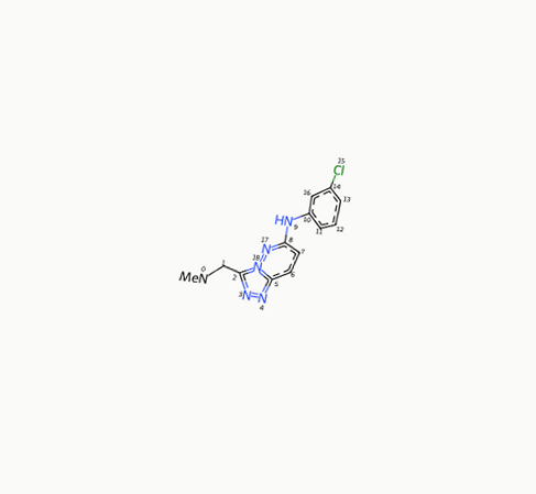 CNCc1nnc2ccc(Nc3cccc(Cl)c3)nn12